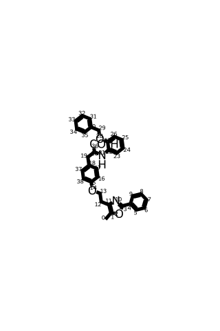 Cc1oc(-c2ccccc2)nc1CCOc1ccc(CC(Nc2ccccc2OCc2ccccc2)C(=O)O)cc1